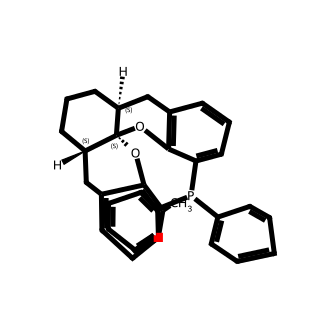 Cc1cccc2c1O[C@@]13Oc4c(cccc4P(c4ccccc4)c4ccccc4)C[C@@H]1CCC[C@H]3C2